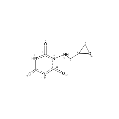 O=c1[nH]c(=O)n(NCC2CO2)c(=O)[nH]1